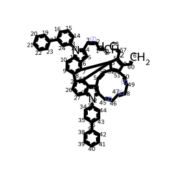 C=C/C=C\c1cc2c3c(ccc2n1-c1cccc(-c2ccccc2)c1)-c1ccc2c4c5c(n2-c2ccc(-c6ccccc6)cc2)\C=C/C=C/C=C\C2=C(C=C5)C3(C(C=C)=C2C=C)c14